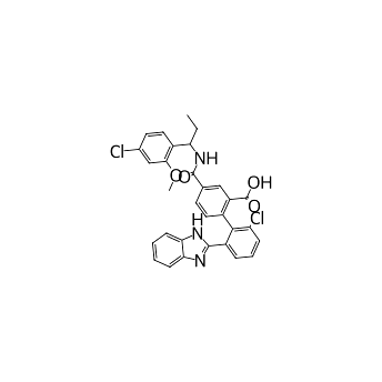 CCC(NC(=O)c1ccc(-c2c(Cl)cccc2-c2nc3ccccc3[nH]2)c(C(=O)O)c1)c1ccc(Cl)cc1OC